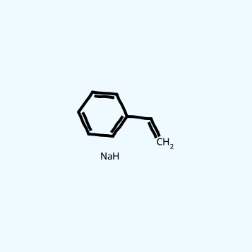 C=Cc1ccccc1.[NaH]